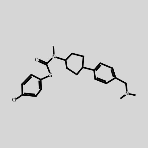 CN(C)Cc1ccc(C2CCC(N(C)C(=O)Sc3ccc(Cl)cc3)CC2)cc1